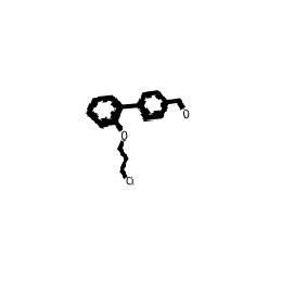 O=Cc1ccc(-c2ccccc2OCCCCl)cc1